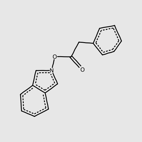 O=C(Cc1ccccc1)On1cc2ccccc2c1